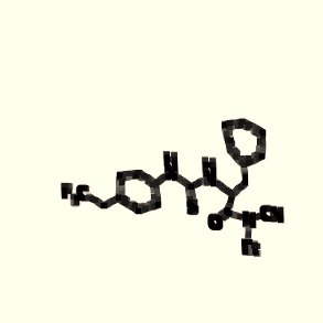 CCN(C#N)C(=O)C(Cc1ccccc1)NC(=S)Nc1ccc(CC(F)(F)F)cc1